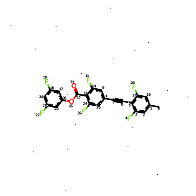 Cc1cc(F)c(C#Cc2cc(F)c(C(=O)Oc3cc(F)cc(F)c3)c(F)c2)c(F)c1